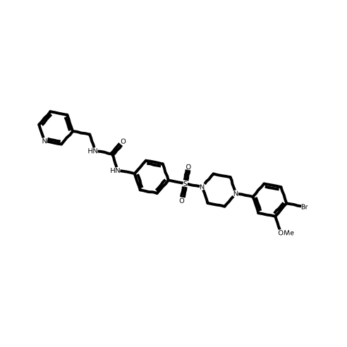 COc1cc(N2CCN(S(=O)(=O)c3ccc(NC(=O)NCc4cccnc4)cc3)CC2)ccc1Br